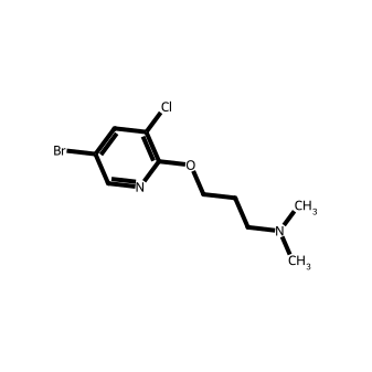 CN(C)CCCOc1ncc(Br)cc1Cl